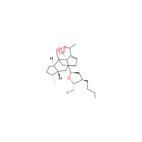 CCCC[C@@H]1C[C@H](C23C[C@@H]4[C@H](C)CC[C@H]4C4(C=O)CC2C=C(C(C)C)[C@]43C(=O)O)O[C@H]1CI